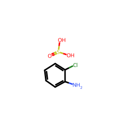 Nc1ccccc1Cl.O=S(O)O